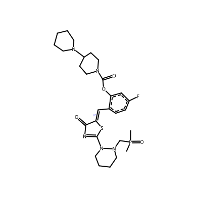 CP(C)(=O)CN1CCCCN1C1=NC(=O)/C(=C/c2ccc(F)cc2OC(=O)N2CCC(N3CCCCC3)CC2)S1